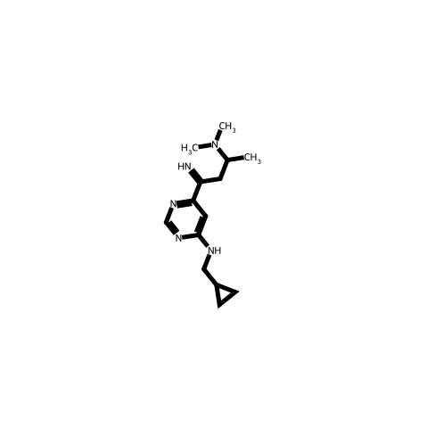 CC(CC(=N)c1cc(NCC2CC2)ncn1)N(C)C